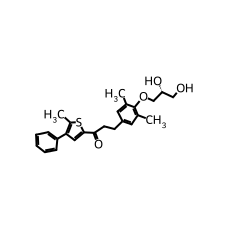 Cc1cc(CCC(=O)c2cc(-c3ccccc3)c(C)s2)cc(C)c1OC[C@H](O)CO